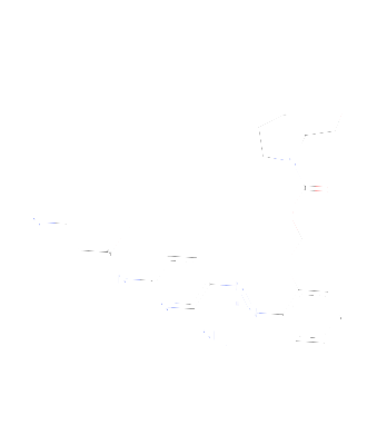 NCCC(=O)Nc1ccc(/N=N/c2ccccc2OCOC(=O)N2CCCC2CO)c(N)n1